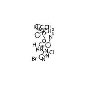 C[C@@H](Nc1nc(Cl)nc2ncc(Br)cc12)c1cccc(C#N)c1OCCO[Si](c1ccccc1)(c1ccccc1)C(C)(C)C